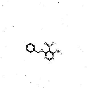 Nc1ncnc(OCc2ccccc2)c1[N+](=O)[O-]